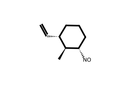 C=C[C@@H]1CCC[C@H](N=O)[C@H]1C